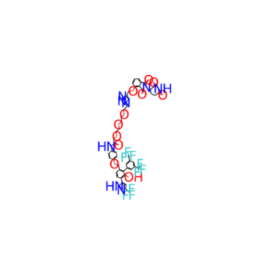 O=C1CCC(N2C(=O)c3cccc(OCc4cn(CCOCCOCCOCC(=O)Nc5ccc(OCc6ccc(-c7cc(C(F)(F)F)n[nH]7)c(O)c6-c6cc(C(F)(F)F)cc(C(F)(F)F)c6)cc5)nn4)c3C2=O)C(=O)N1